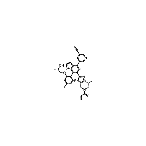 C=CC(=O)N1Cc2cc(-c3nc(-c4cncc(C#N)c4)c4ccsc4c3-c3c(F)cc(F)cc3OC[C@@H](C)O)nn2[C@@H](C)C1